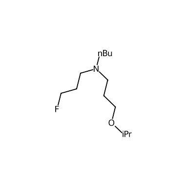 CCCCN(CCCF)CCCOC(C)C